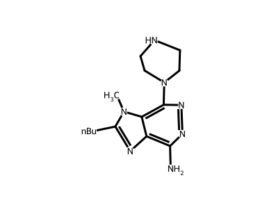 CCCCc1nc2c(N)nnc(N3CCNCC3)c2n1C